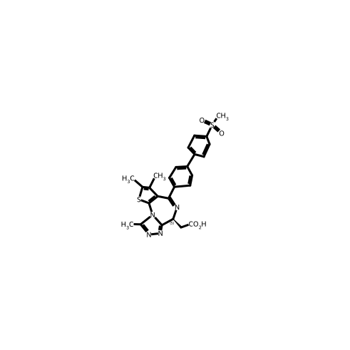 Cc1sc2c(c1C)C(c1ccc(-c3ccc(S(C)(=O)=O)cc3)cc1)=N[C@@H](CC(=O)O)c1nnc(C)n1-2